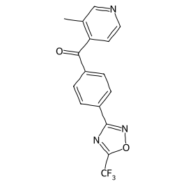 Cc1cnccc1C(=O)c1ccc(-c2noc(C(F)(F)F)n2)cc1